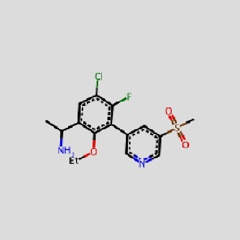 CCOc1c(C(C)N)cc(Cl)c(F)c1-c1cncc(S(C)(=O)=O)c1